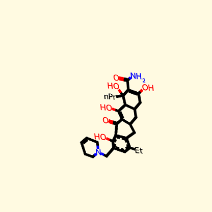 CCCC1(O)C(C(N)=O)=C(O)CC2CC3Cc4c(CC)cc(CN5CC=CCC5)c(O)c4C(=O)C3=C(O)C21